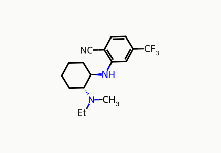 CCN(C)[C@@H]1CCCC[C@H]1Nc1cc(C(F)(F)F)ccc1C#N